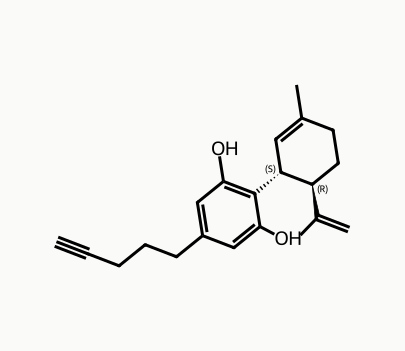 C#CCCCc1cc(O)c([C@@H]2C=C(C)CC[C@H]2C(=C)C)c(O)c1